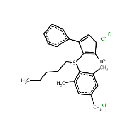 CCCCC[SiH](C1=[C]([Ti+3])CC=C1c1ccccc1)c1c(C)cc(C)cc1C.[Cl-].[Cl-].[Cl-]